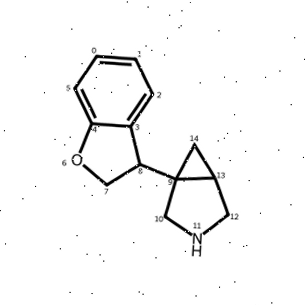 c1ccc2c(c1)OCC2C12CNCC1C2